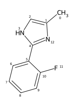 Cc1c[nH]c(-c2ccccc2F)n1